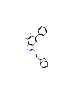 Fc1c(Cl)c(-c2ccccc2)cc2c(NCC3CC4C=CC3C4)n[nH]c12